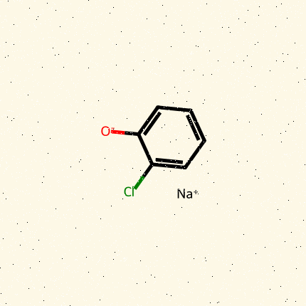 [Na+].[O-]c1ccccc1Cl